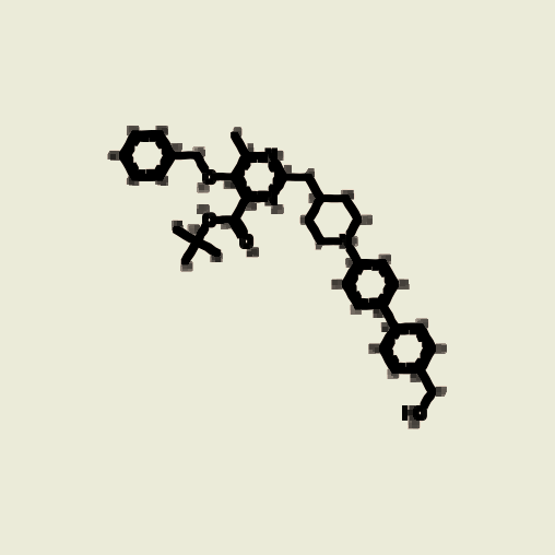 Cc1nc(CC2CCN(c3ccc(-c4ccc(CO)cc4)cc3)CC2)nc(C(=O)OC(C)(C)C)c1OCc1ccccc1